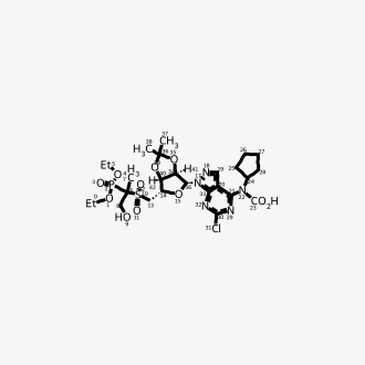 CCOP(=O)(OCC)C(C)(CO)S(=O)(=O)C[C@H]1O[C@@H](n2ncc3c(N(C(=O)O)C4CCCC4)nc(Cl)nc32)[C@@H]2OC(C)(C)O[C@@H]21